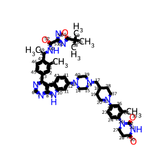 Cc1cc(-c2ncnc3[nH]c4cc(N5CCN(CC6CCN(c7ccc(N8CCC(=O)NC8=O)c(C)c7)CC6)CC5)ccc4c23)ccc1[C@@H](C)NC(=O)c1noc(C(C)(C)C)n1